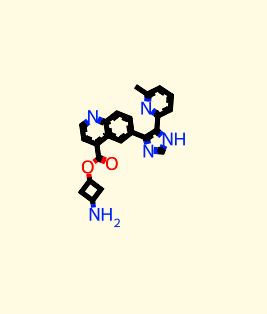 Cc1cccc(-c2[nH]cnc2-c2ccc3nccc(C(=O)OC4CC(N)C4)c3c2)n1